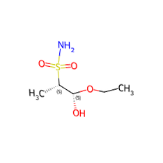 CCO[C@H](O)[C@H](C)S(N)(=O)=O